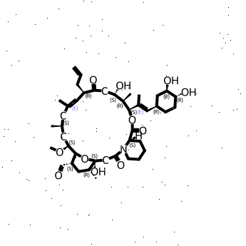 C=CC[C@@H]1/C=C(\C)C[C@H](C)C[C@H](OC)C2O[C@@](O)(CC(=O)N3CCCC[C@H]3C(=O)O[C@H](/C(C)=C/[C@@H]3CC[C@@H](O)[C@H](O)C3)[C@H](C)[C@@H](O)CC1=O)[C@H](C)C[C@@H]2C=O